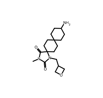 CN1C(=O)N(CC2COC2)C2(CCC3(CCC(N)CC3)CC2)C1=O